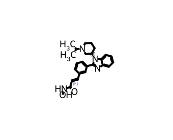 CC(C)N1CCC[C@@H](n2c(-c3cccc(/C=C/C(=O)NO)c3)nc3ccccc32)C1